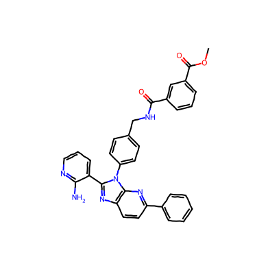 COC(=O)c1cccc(C(=O)NCc2ccc(-n3c(-c4cccnc4N)nc4ccc(-c5ccccc5)nc43)cc2)c1